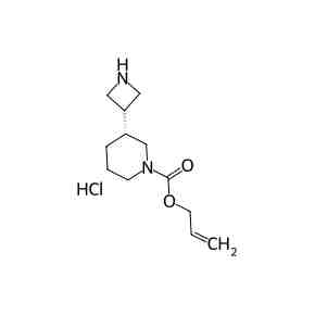 C=CCOC(=O)N1CCC[C@H](C2CNC2)C1.Cl